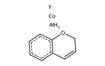 C1=Cc2ccccc2OC1.[AlH3].[Co].[Y]